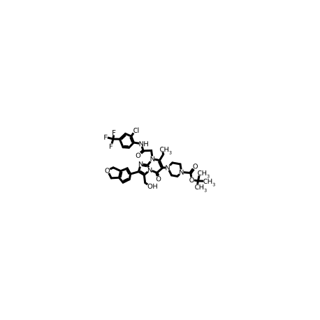 CCc1c(N2CCN(C(=O)OC(C)(C)C)CC2)c(=O)n2c(CO)c(-c3ccc4c(c3)COC4)nc2n1CC(=O)Nc1ccc(C(F)(F)F)cc1Cl